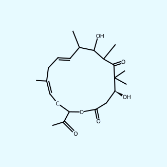 CC(=O)C1C/C=C(/C)C/C=C/C(C)C(O)C(C)C(=O)C(C)(C)[C@@H](O)CC(=O)O1